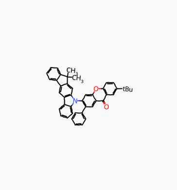 CC(C)(C)c1ccc2oc3cc(-n4c5ccccc5c5cc6c(cc54)C(C)(C)c4ccccc4-6)c(-c4ccccc4)cc3c(=O)c2c1